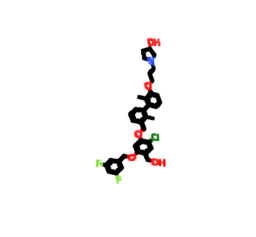 Cc1c(COc2cc(OCc3cc(F)cc(F)c3)c(CO)cc2Cl)cccc1-c1cccc(OCCCN2CC[C@@H](O)C2)c1C